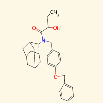 CCC(O)C(=O)N(Cc1ccc(OCc2ccccc2)cc1)C1C2CC3CC(C2)CC1C3